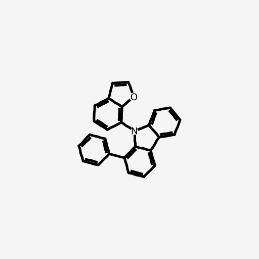 c1ccc(-c2cccc3c4ccccc4n(-c4cccc5ccoc45)c23)cc1